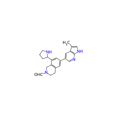 Cc1c[nH]c2ncc(-c3cc4c(c(C5CCCN5)c3)CN(C=O)CC4)cc12